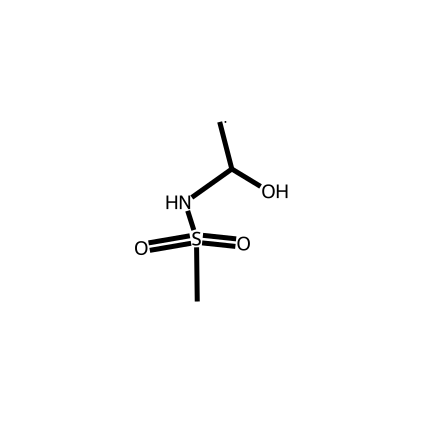 [CH2]C(O)NS(C)(=O)=O